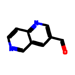 O=Cc1cnc2ccncc2c1